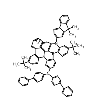 Cc1cc2c3c(c1)N(c1ccc(C(C)(C)C)cc1-c1ccccc1)c1cc(N(c4ccc(-c5ccccc5)cc4)c4ccc(-c5ccccc5)cc4)ccc1B3c1ccc(C(C)(C)C)cc1N2c1ccc2c(c1)C(C)(C)c1ccccc1-2